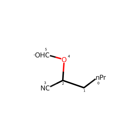 CCCCC(C#N)O[C]=O